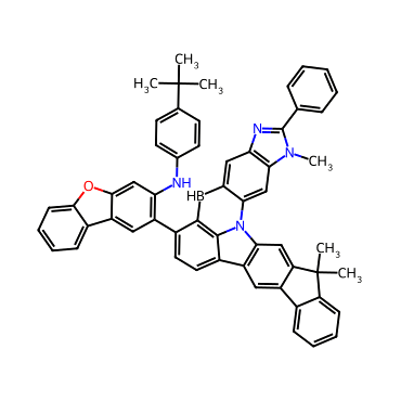 Cn1c(-c2ccccc2)nc2cc3c(cc21)-n1c2cc4c(cc2c2ccc(-c5cc6c(cc5Nc5ccc(C(C)(C)C)cc5)oc5ccccc56)c(c21)B3)-c1ccccc1C4(C)C